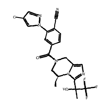 C[C@H]1CN(C(=O)c2ccc(C#N)c(-n3cc(Cl)cn3)c2)Cc2cnc(C(C)(O)C(F)(F)F)n21